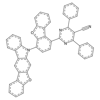 N#Cc1c(-c2ccccc2)nc(-c2ccc(-n3c4ccccc4c4cc5c(cc43)oc3ccccc35)c3oc4ccccc4c23)nc1-c1ccccc1